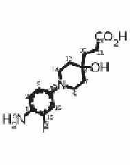 Nc1ccc(N2CCC(O)(CCC(=O)O)CC2)cc1F